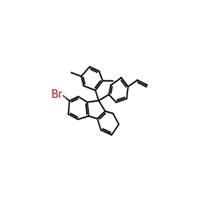 C=Cc1ccc(C2(c3cc(C)ccc3C)C3=C(C=CCC3)c3ccc(Br)cc32)cc1